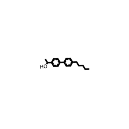 CCCCCc1ccc(-c2ccc(C(C)O)cc2)cc1